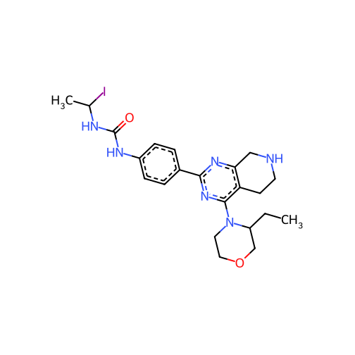 CCC1COCCN1c1nc(-c2ccc(NC(=O)NC(C)I)cc2)nc2c1CCNC2